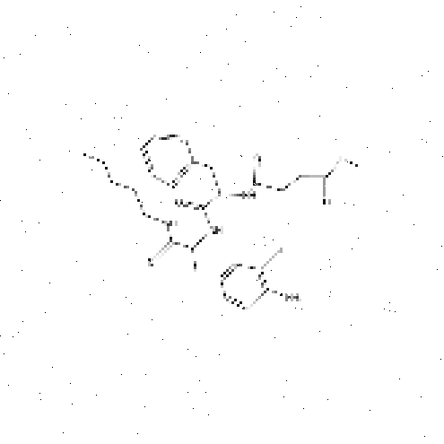 CCCCCNC(=O)C(Cc1ccc(N)c(I)c1)NC(=O)C(Cc1ccccc1)NC(=O)CCC(=O)OC